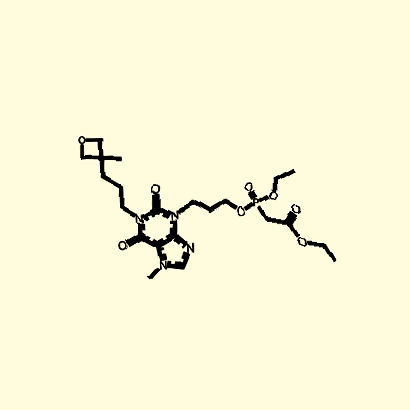 CCOC(=O)CP(=O)(OCC)OCCCn1c(=O)n(CCCC2(C)COC2)c(=O)c2c1ncn2C